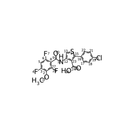 COc1c(F)cc(F)c(C(=O)Nc2csc(-c3ccc(Cl)cc3)c2C(=O)O)c1F